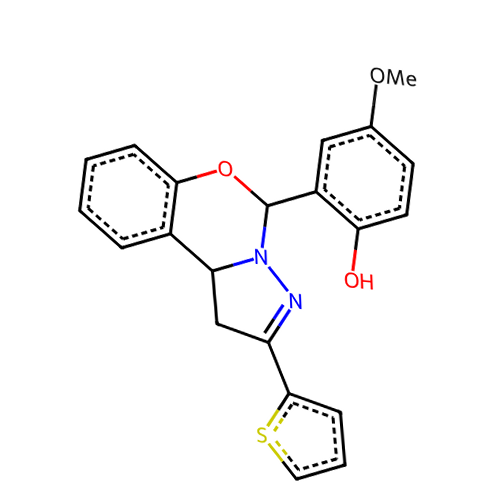 COc1ccc(O)c(C2Oc3ccccc3C3CC(c4cccs4)=NN32)c1